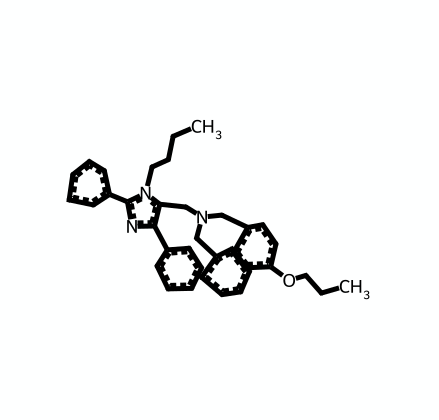 CCCCn1c(-c2ccccc2)nc(-c2ccccc2)c1CN(Cc1ccccc1)Cc1ccc(OCCC)cc1